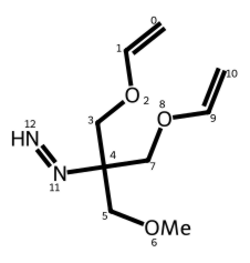 C=COCC(COC)(COC=C)N=N